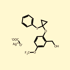 O=C([O-])[O-].OCc1cc(OC(F)(F)F)ccc1OC1(Sc2ccccc2)CC1.[Ag+2]